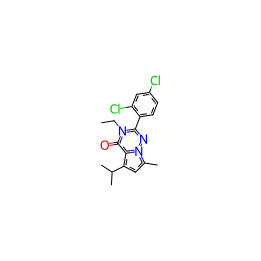 CCn1c(-c2ccc(Cl)cc2Cl)nn2c(C)cc(C(C)C)c2c1=O